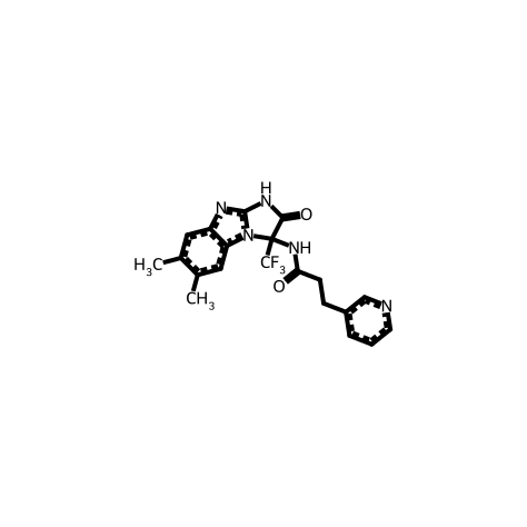 Cc1cc2nc3n(c2cc1C)C(NC(=O)CCc1cccnc1)(C(F)(F)F)C(=O)N3